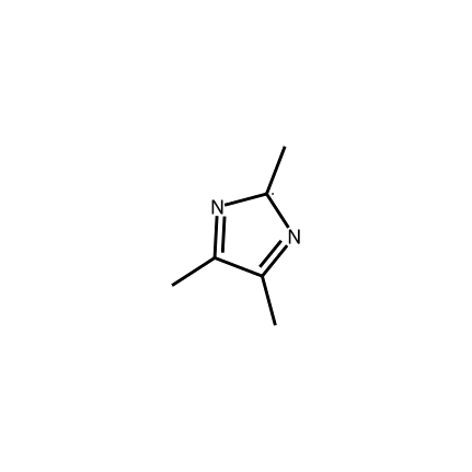 C[C]1N=C(C)C(C)=N1